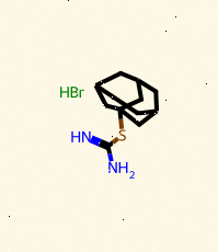 Br.N=C(N)SC12CC3CC(CC(C3)C1)C2